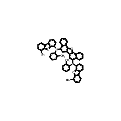 Cc1ccccc1N(c1cc2c3cc(N(c4ccccc4C)c4cccc5c4oc4c(C(C)(C)C)cccc45)c4ccccc4c3oc2c2ccccc12)c1cccc2c1oc1c(C(C)(C)C)cccc12